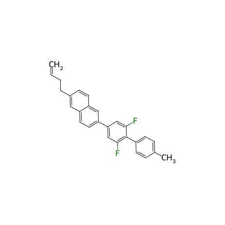 C=CCCc1ccc2cc(-c3cc(F)c(-c4ccc(C)cc4)c(F)c3)ccc2c1